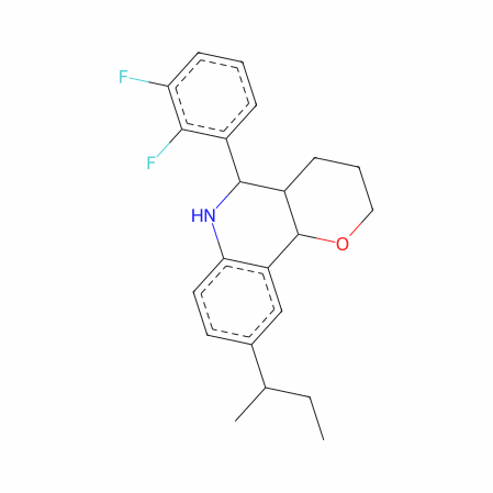 CCC(C)c1ccc2c(c1)C1OCCCC1C(c1cccc(F)c1F)N2